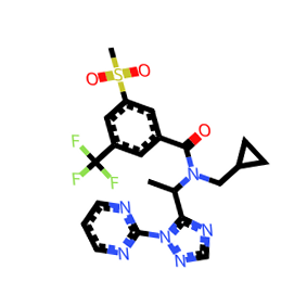 CC(c1ncnn1-c1ncccn1)N(CC1CC1)C(=O)c1cc(C(F)(F)F)cc(S(C)(=O)=O)c1